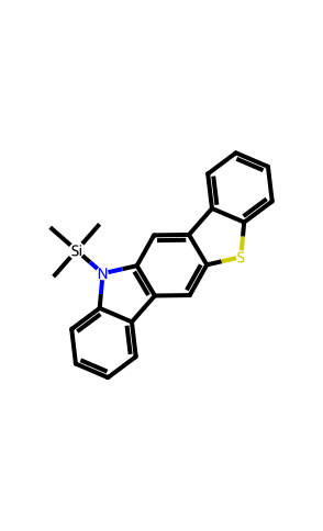 C[Si](C)(C)n1c2ccccc2c2cc3sc4ccccc4c3cc21